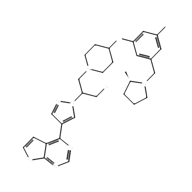 C[C@@H]1CCCN1Cc1cc(F)cc(OC2CCN(CC(CN)n3cc(-c4ncnc5[nH]ccc45)cn3)CC2)c1